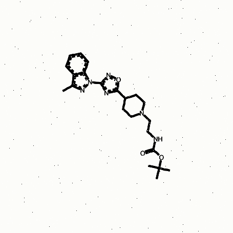 Cc1nn(-c2noc(C3CCN(CCNC(=O)OC(C)(C)C)CC3)n2)c2ccccc12